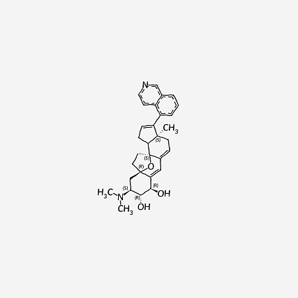 CN(C)[C@H]1C[C@@]23CC[C@@]4(O2)C(=CC[C@]2(C)C(c5cccc6cnccc56)=CCC24)C=C3[C@@H](O)[C@@H]1O